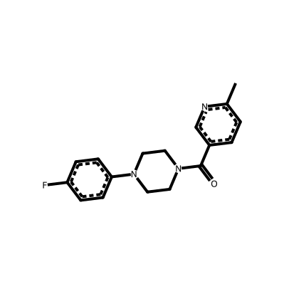 Cc1ccc(C(=O)N2CCN(c3ccc(F)cc3)CC2)cn1